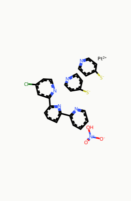 Clc1ccnc(-c2cccc(-c3ccccn3)n2)c1.O=[N+]([O-])O.[Pt+2].[S-]c1ccncc1.[S-]c1ccncc1